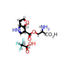 NC(COC(=O)c1c[nH]c2ccoc12)C(=O)O.O=C(O)C(F)(F)F